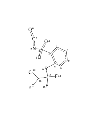 O=C=NS(=O)(=O)c1ccccc1SC(F)(F)C(F)Cl